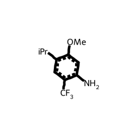 COc1cc(N)c(C(F)(F)F)cc1C(C)C